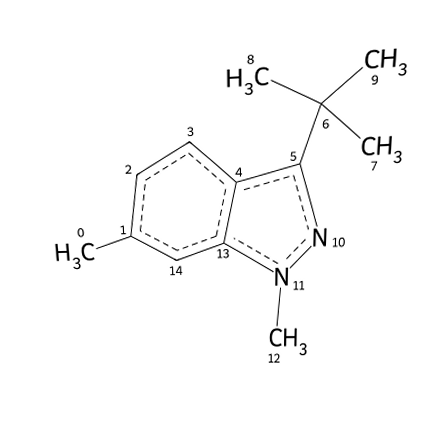 Cc1ccc2c(C(C)(C)C)nn(C)c2c1